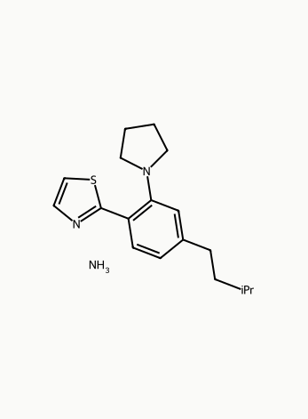 CC(C)CCc1ccc(-c2nccs2)c(N2CCCC2)c1.N